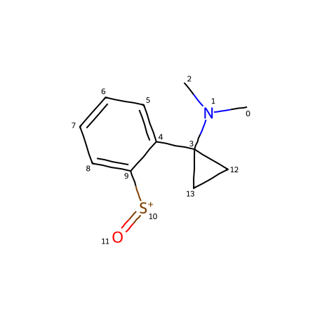 CN(C)C1(c2ccccc2[S+]=O)CC1